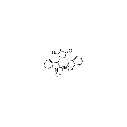 Cc1sc2ccccc2c1C1=C(c2c(C)n(C)c3ccccc23)C(=O)OC1=O